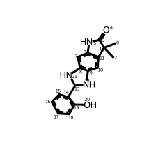 CC1(C)C(=O)Nc2cc3c(cc21)NC(c1ccccc1O)N3